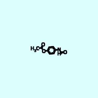 CC(=O)Oc1ccc(N[C]=O)cc1